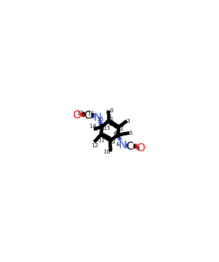 CC1=C(C)C(C)(N=C=O)C(C)=C(C)C1(C)N=C=O